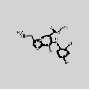 CNCc1cnc2c(Cl)c(Nc3ccc(Br)cc3Cl)c(C(=O)OC)cn12